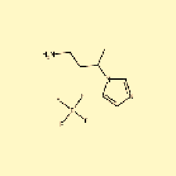 CC(CCN)n1ccnc1.F[B-](F)(F)F